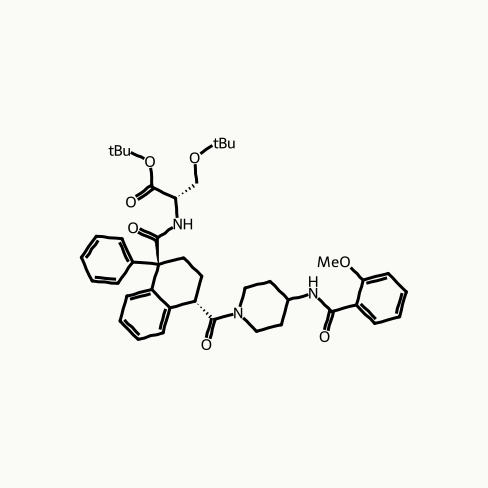 COc1ccccc1C(=O)NC1CCN(C(=O)[C@H]2CC[C@@](C(=O)N[C@@H](COC(C)(C)C)C(=O)OC(C)(C)C)(c3ccccc3)c3ccccc32)CC1